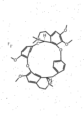 COc1ccc2cc1Oc1cc3c(cc1OC)CC[N+](C)(C)[C@H]3Cc1ccc(cc1)Oc1c(OC)c(OC)cc3c1[C@@H](C2)[N+](C)(C)CC3.[I-].[I-]